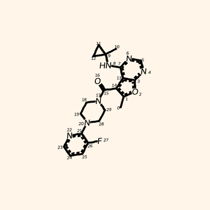 Cc1oc2ncnc(NC3(C)CC3)c2c1C(=O)N1CCN(c2ncccc2F)CC1